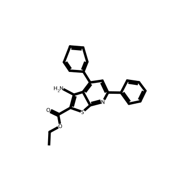 CCOC(=O)c1sc2nc(-c3ccccc3)cc(-c3ccccc3)c2c1N